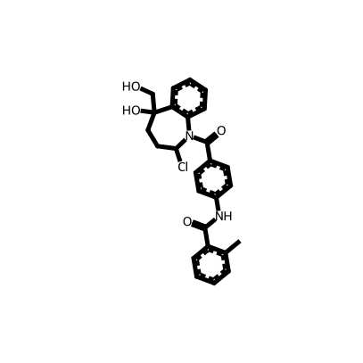 Cc1ccccc1C(=O)Nc1ccc(C(=O)N2c3ccccc3C(O)(CO)CCC2Cl)cc1